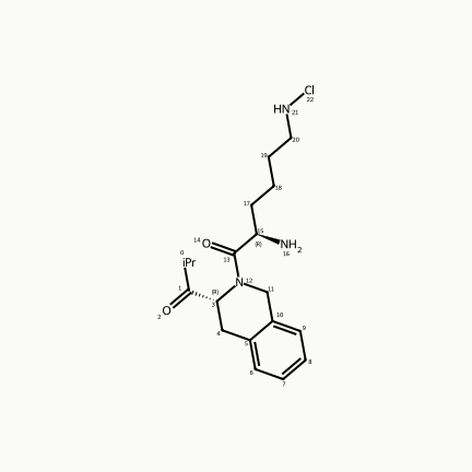 CC(C)C(=O)[C@H]1Cc2ccccc2CN1C(=O)[C@H](N)CCCCNCl